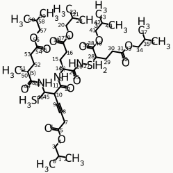 CC(C)COC(=O)CC#CC(C(=O)N[C@@H](CCC(=O)OCC(C)C)C(=O)N[SiH2]C(CCC(=O)OCC(C)C)C(=O)OCC(C)C)C([SiH3])NC(=O)[C@@H](C)CCC(=O)OCC(C)C